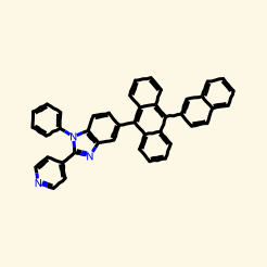 c1ccc(-n2c(-c3ccncc3)nc3cc(-c4c5ccccc5c(-c5ccc6ccccc6c5)c5ccccc45)ccc32)cc1